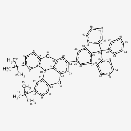 CC(C)(C)c1ccc2c(c1)B1c3cc(C(C)(C)C)ccc3Oc3cc(-c4ccc(C(c5ccccc5)(c5ccccc5)c5ccccc5)cc4)cc(c31)O2